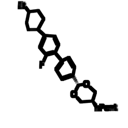 CCCCC[C@H]1CO[C@H](c2ccc(-c3ccc(C4CCC(CC)CC4)cc3F)cc2)OC1